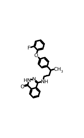 CC(CCNc1n[nH]c(=O)c2ccccc12)c1ccc(Oc2ccccc2F)cc1